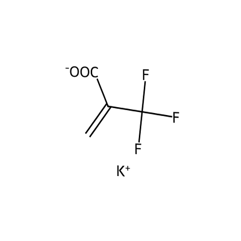 C=C(C(=O)[O-])C(F)(F)F.[K+]